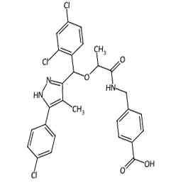 Cc1c(C(OC(C)C(=O)NCc2ccc(C(=O)O)cc2)c2ccc(Cl)cc2Cl)n[nH]c1-c1ccc(Cl)cc1